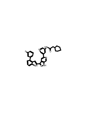 O=C(CC1CCCCC1)Nc1cncc(-c2cc3c(-c4cc5c(-c6cccc(F)c6)cccc5[nH]4)n[nH]c3cn2)c1